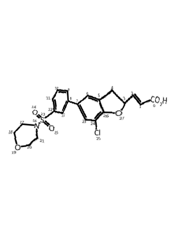 O=C(O)C=CC1Cc2cc(-c3cccc(S(=O)(=O)N4CCOCC4)c3)cc(Cl)c2O1